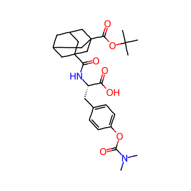 CN(C)C(=O)Oc1ccc(C[C@H](NC(=O)C23CC4CC(C2)CC(C(=O)OC(C)(C)C)(C4)C3)C(=O)O)cc1